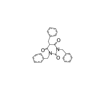 O=C1C(Cc2ccccc2)C(=O)N(Cc2ccccc2)C(=O)N1Cc1ccccc1